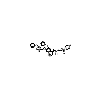 CN1CCN(C(=O)OCCN/N=C(\C=N)c2cc(F)c(OCc3nnc(S[C@H]4C=CCCC4)n3-c3cccnc3)cc2F)CC1